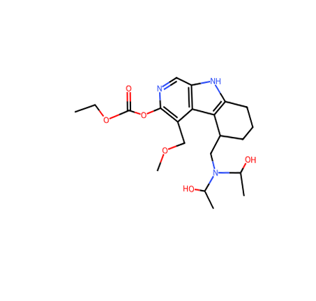 CCOC(=O)Oc1ncc2[nH]c3c(c2c1COC)C(CN(C(C)O)C(C)O)CCC3